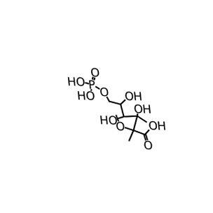 COC(C)(C(=O)O)C(C)(O)C(O)C(O)COP(=O)(O)O